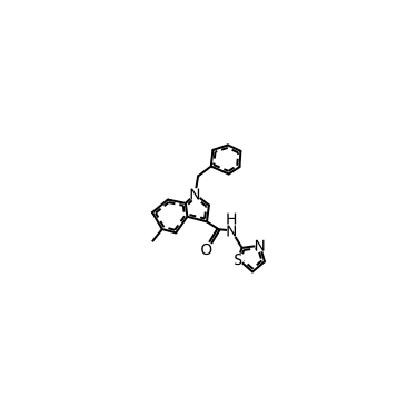 Cc1ccc2c(c1)c(C(=O)Nc1nccs1)cn2Cc1ccccc1